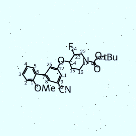 COc1ccccc1-c1cc(C#N)cc(OC2CCN(C(=O)OC(C)(C)C)CC2F)c1